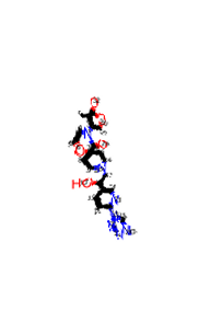 CC1=C(N2CCOC3(CCN(CC(O)c4ccc(-n5cnnn5)nc4)CC3)C2=O)COC1=O